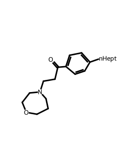 CCCCCCCc1ccc(C(=O)CCN2CCCOCC2)cc1